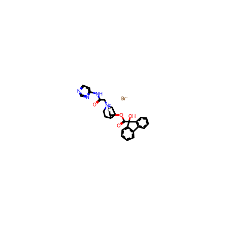 O=C(C[N+]12CCC(CC1)C(OC(=O)C1(O)c3ccccc3-c3ccccc31)C2)Nc1ccncn1.[Br-]